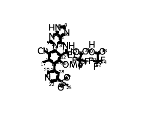 CCC(Nc1ncnc2[nH]cnc12)c1cc(Cl)c(C)c(-c2cncc(S(C)(=O)=O)c2)c1OC.O=C(O)C(F)(F)F.O=C(O)C(F)(F)F